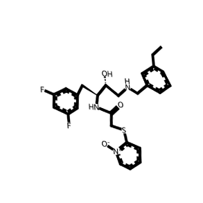 CCc1cccc(CNC[C@@H](O)[C@H](Cc2cc(F)cc(F)c2)NC(=O)CSc2cccc[n+]2[O-])c1